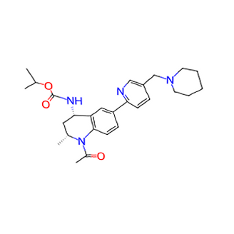 CC(=O)N1c2ccc(-c3ccc(CN4CCCCC4)cn3)cc2[C@@H](NC(=O)OC(C)C)C[C@H]1C